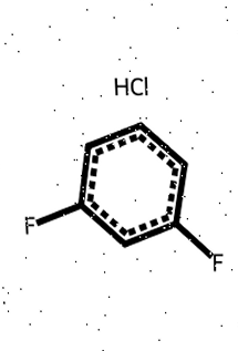 Cl.Fc1[c]ccc(F)c1